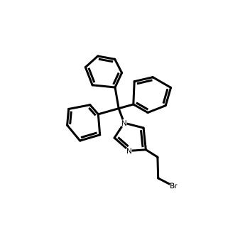 BrCCc1cn(C(c2ccccc2)(c2ccccc2)c2ccccc2)cn1